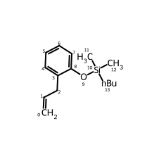 C=CCc1ccccc1O[Si](C)(C)CCCC